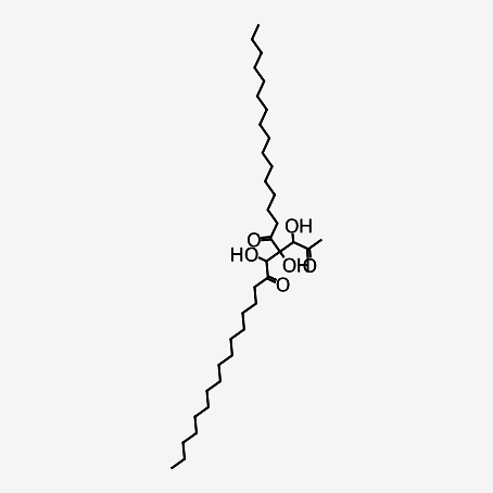 CCCCCCCCCCCCCCCC(=O)C(O)C(O)(C(=O)CCCCCCCCCCCCCCC)C(O)C(C)=O